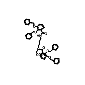 O=C(O)CN(CCCCNC(=O)c1cccc(OCc2ccccc2)c1OCc1ccccc1)C(=O)c1cccc(OCc2ccccc2)c1OCc1ccccc1